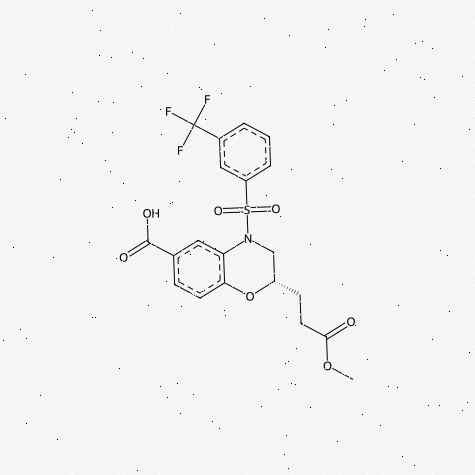 COC(=O)CC[C@H]1CN(S(=O)(=O)c2cccc(C(F)(F)F)c2)c2cc(C(=O)O)ccc2O1